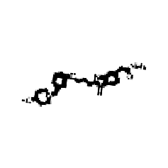 CNC(=O)Cc1ccc2[nH]c(CCCOc3cccc(CN4CCC(O)CC4)c3)nc2c1